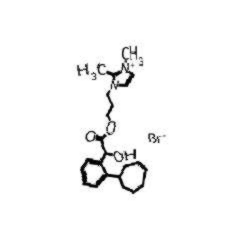 Cc1n(CCCOC(=O)C(O)c2ccccc2C2CCCCCC2)cc[n+]1C.[Br-]